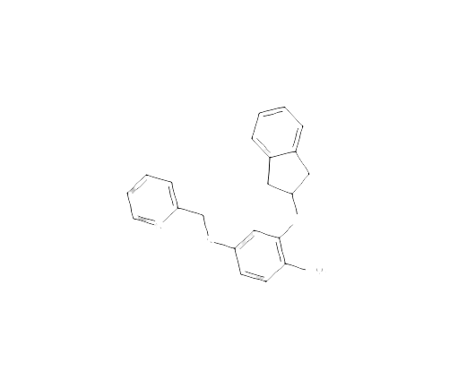 COc1ccc(NCc2ccccn2)cc1OC1Cc2ccccc2C1